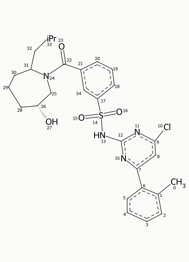 Cc1ccccc1-c1cc(Cl)nc(NS(=O)(=O)c2cccc(C(=O)N3C[C@H](O)CCCC3CC(C)C)c2)n1